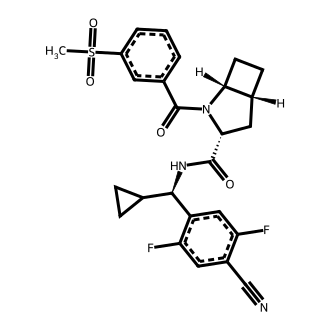 CS(=O)(=O)c1cccc(C(=O)N2[C@@H](C(=O)N[C@@H](c3cc(F)c(C#N)cc3F)C3CC3)C[C@H]3CC[C@H]32)c1